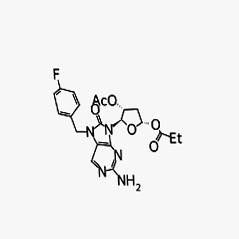 CCC(=O)O[C@H]1C[C@@H](OC(C)=O)[C@H](n2c(=O)n(Cc3ccc(F)cc3)c3cnc(N)nc32)O1